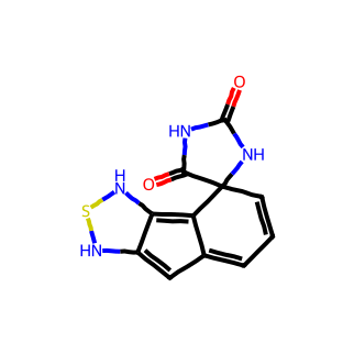 O=C1NC(=O)C2(C=CC=C3C=C4NSNC4=C32)N1